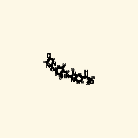 Cc1cc(Oc2ncc(Cl)cn2)cc(C)c1CNc1nc2ccc(NC3COC3)cc2n1C